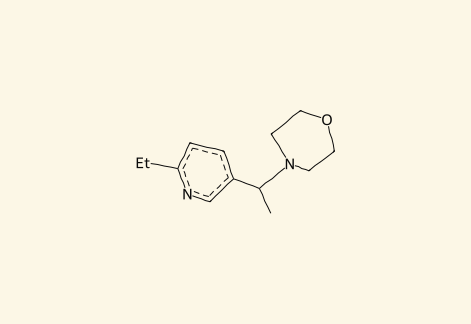 CCc1ccc(C(C)N2CCOCC2)cn1